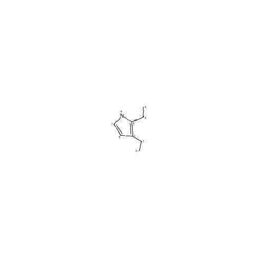 CCC1=C(CC)[N]C=C1